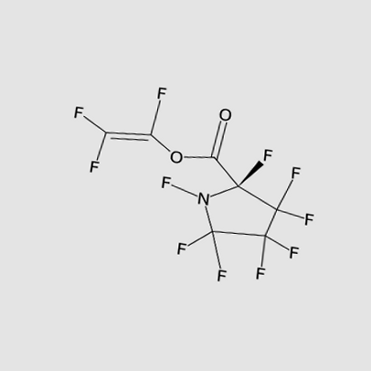 O=C(OC(F)=C(F)F)[C@@]1(F)N(F)C(F)(F)C(F)(F)C1(F)F